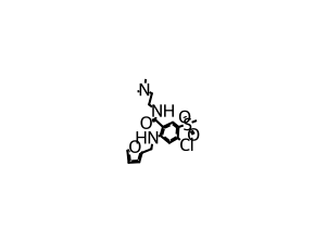 CN(C)CCNC(=O)c1cc(S(C)(=O)=O)c(Cl)cc1NCc1ccco1